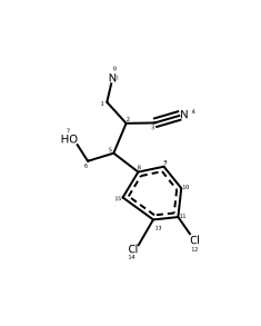 [N]CC(C#N)C(CO)c1ccc(Cl)c(Cl)c1